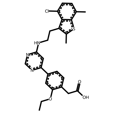 CCOc1cc(-c2cc(NCCc3c(C)sc4c(C)ccc(Cl)c34)ncn2)ccc1CC(=O)O